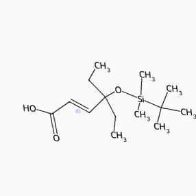 CCC(/C=C/C(=O)O)(CC)O[Si](C)(C)C(C)(C)C